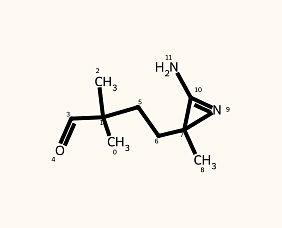 CC(C)(C=O)CCC1(C)N=C1N